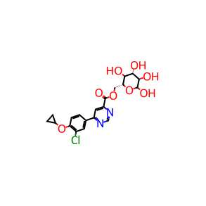 O=C(OC[C@H]1OC(O)[C@H](O)[C@@H](O)[C@@H]1O)c1cc(-c2ccc(OC3CC3)c(Cl)c2)ncn1